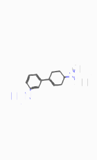 CN(C)C1CC=C(c2cccc(N)c2)CC1